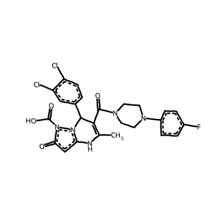 CC1=C(C(=O)N2CCN(c3ccc(F)cc3)CC2)C(c2ccc(Cl)c(Cl)c2)n2c(cc(=O)n2C(=O)O)N1